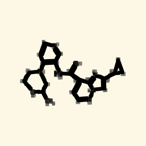 CC1CN(c2ccncc2NC(=O)c2ccnn3cc(C4CC4)nc23)CCO1